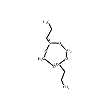 CCC[SiH]1O[SiH2]O[SiH](CCC)O[SiH2]O1